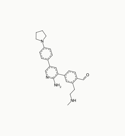 CNCCc1cc(-c2cc(-c3ccc(N4CCCC4)cc3)cnc2N)ccc1C=O